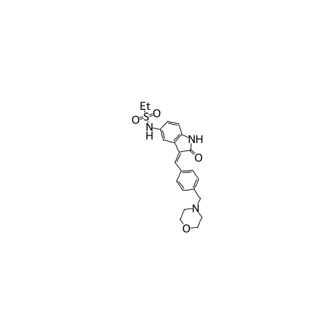 CCS(=O)(=O)Nc1ccc2c(c1)/C(=C/c1ccc(CN3CCOCC3)cc1)C(=O)N2